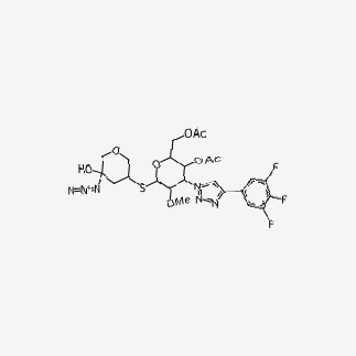 COC1C(SC2COCC(O)(N=[N+]=[N-])C2)OC(COC(C)=O)C(OC(C)=O)C1n1cc(-c2cc(F)c(F)c(F)c2)nn1